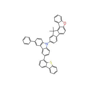 CC1(C)c2cc(-n3c4ccc(-c5ccccc5)cc4c4cc(-c5cccc6c5sc5ccccc56)ccc43)ccc2-c2ccc3oc4ccccc4c3c21